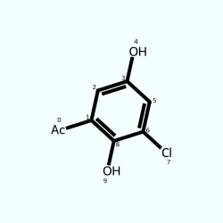 CC(=O)c1cc(O)cc(Cl)c1O